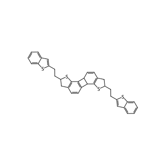 C1=CC2c3c(ccc4c3SC(CCc3cc5ccccc5s3)C4)C2C2=C1CC(CCc1cc3ccccc3s1)S2